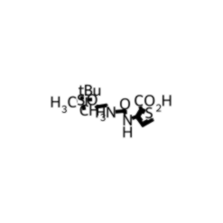 CC(C)(C)[Si](C)(C)OCCNC(=O)Nc1ccsc1C(=O)O